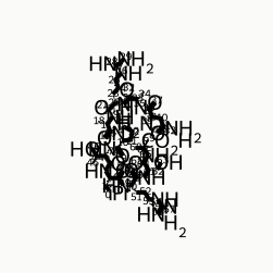 CC(C)C[C@H](NC(=O)[C@@H](NC(=O)[C@@H]1CCCN1C(=O)[C@H](C)NC(=O)[C@H](CCCNC(=N)N)NC(=O)[C@H](C)NC(=O)[C@@H](N)CC(N)=O)[C@@H](C)O)C(=O)N[C@@H](CCCNC(=N)N)C(=O)N[C@@H](CO)C(=O)N[C@@H](C)C(=O)O